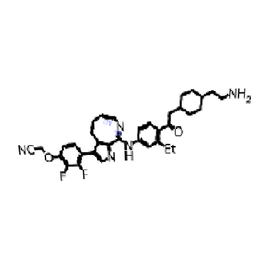 CCc1cc(N/C2=N/C=C\CCC3C(c4ccc(OCC#N)c(F)c4F)=CN=C23)ccc1C(=O)CC1CCC(CCN)CC1